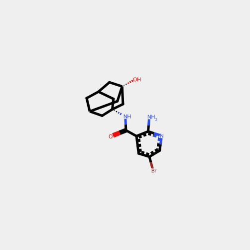 Nc1ncc(Br)cc1C(=O)N[C@]12CC3CC(C[C@@](O)(C3)C1)C2